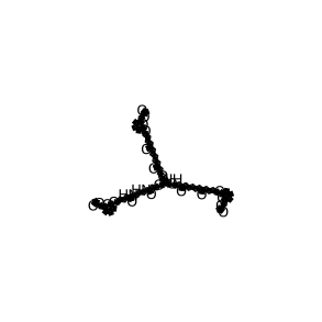 CC(=O)OCC1OC(OCCCCC(=O)CCCCCC(=O)CCOCC(N)(COCCC(=O)CCCCCC(=O)CCCCOC2OC(COC(C)=O)C(C)C(C)C2C)COCCC(=O)NCCCNC(=O)CCCCOC2OC(COC(C)=O)C(C)C(C)C2C)C(C)C(C)C1C